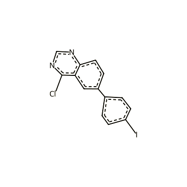 Clc1ncnc2ccc(-c3ccc(I)cc3)cc12